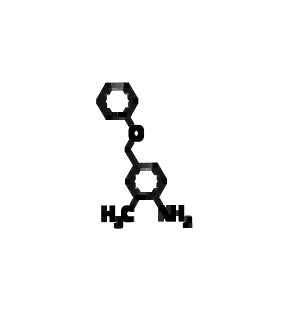 Cc1cc(COc2ccccc2)ccc1N